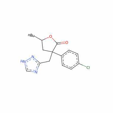 CCCCC1CC(Cc2nc[nH]n2)(c2ccc(Cl)cc2)C(=O)O1